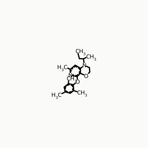 CCC(C)N1CCOc2c1cc(C)nc2Oc1c(C)cc(C)cc1C